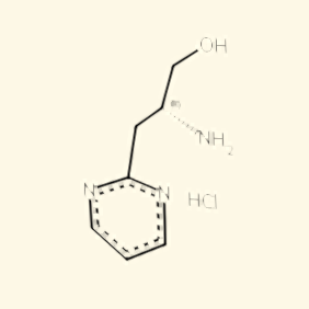 Cl.N[C@@H](CO)Cc1ncccn1